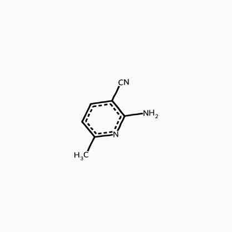 Cc1ccc(C#N)c(N)n1